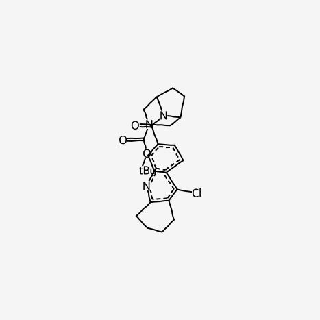 CC(C)(C)OC(=O)N1CC2CCC(C1)N2C(=O)c1ccc2c(Cl)c3c(nc2c1)CCCC3